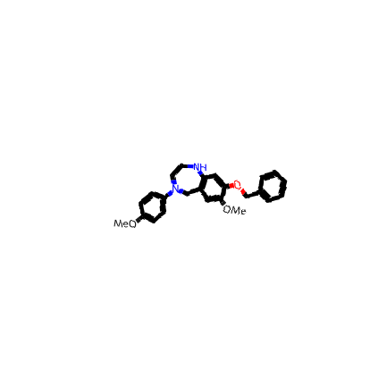 COc1ccc(N2CCNc3cc(OCc4ccccc4)c(OC)cc3C2)cc1